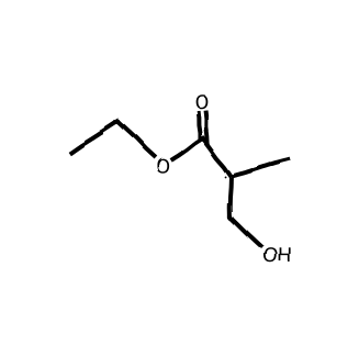 CCOC(=O)[C](C)CO